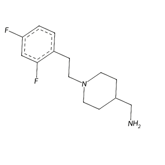 NCC1CCN(CCc2ccc(F)cc2F)CC1